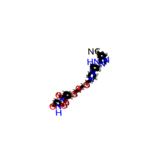 N#Cc1ccc2ncnc(Nc3ccc(N4CCN(CCOCCOCCOc5ccc6c(c5)C(=O)N(C5CCC(=O)NC5=O)C6=O)CC4)cc3)c2c1